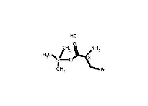 CC(C)C[C@H](N)C(=O)O[Si](C)(C)C.Cl